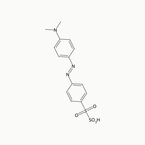 CN(C)c1ccc(N=Nc2ccc(S(=O)(=O)S(=O)(=O)O)cc2)cc1